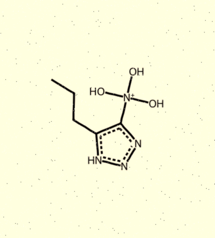 CCCc1[nH]nnc1[N+](O)(O)O